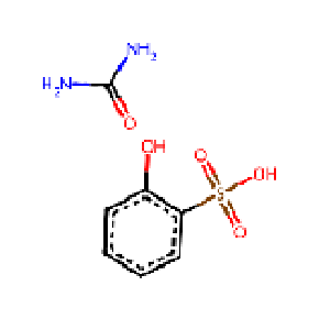 NC(N)=O.O=S(=O)(O)c1ccccc1O